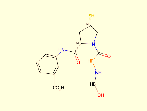 O=C(O)c1cccc(NC(=O)[C@@H]2C[C@H](S)CN2C(=O)PNBO)c1